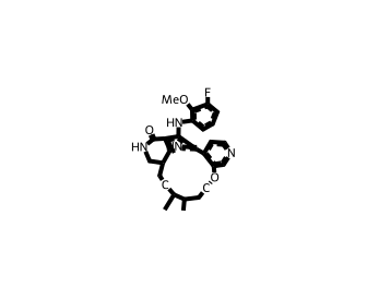 COc1c(F)cccc1Nc1c2[nH]c3c1C(=O)NCC3CCC(C)C(C)CCOc1cnccc1-2